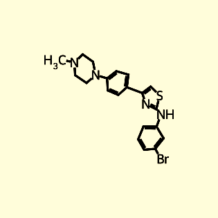 CN1CCN(c2ccc(-c3csc(Nc4cccc(Br)c4)n3)cc2)CC1